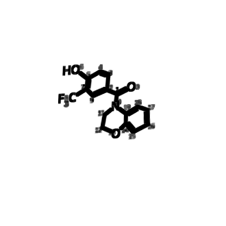 O=C(c1ccc(O)c(C(F)(F)F)c1)N1CCOc2ccccc21